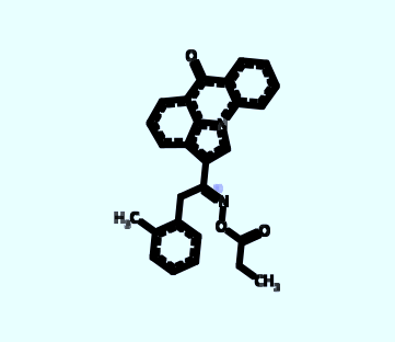 CCC(=O)O/N=C(\Cc1ccccc1C)c1cn2c3ccccc3c(=O)c3cccc1c32